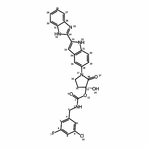 O=C(NCc1cc(F)cc(Cl)c1)O[C@@]1(O)CCN(c2ccc3[nH]c(-c4nc5ccccc5[nH]4)cc3c2)C1=O